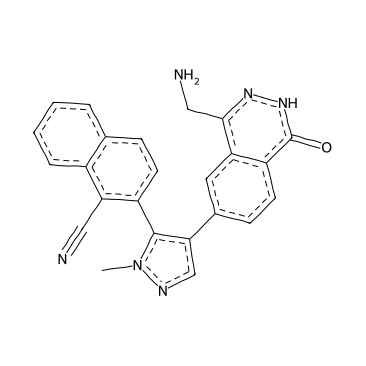 Cn1ncc(-c2ccc3c(=O)[nH]nc(CN)c3c2)c1-c1ccc2ccccc2c1C#N